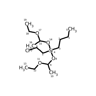 CCCC[Si](CCCl)(OC(C)OCC)OC(C)OCC